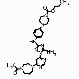 CCCOC(=O)N1CCN(c2ccc(Nc3nc(N)n(-c4cc(N5CCCN(C(C)=O)CC5)ncn4)n3)cc2)CC1